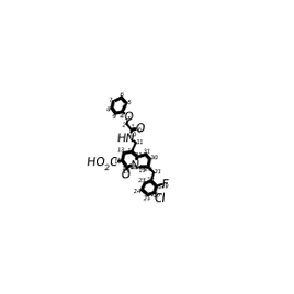 O=C(COc1ccccc1)NCc1cc(C(=O)O)c(=O)n2cc(Cc3cccc(Cl)c3F)ccc12